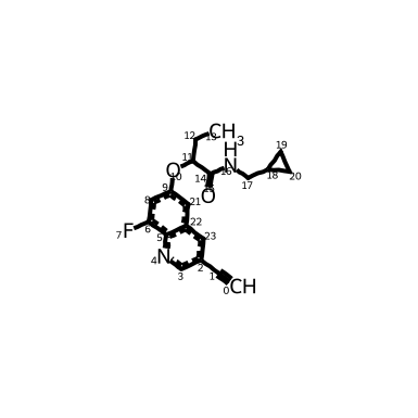 C#Cc1cnc2c(F)cc(OC(CC)C(=O)NCC3CC3)cc2c1